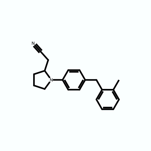 Cc1ccccc1Cc1ccc(N2CCCC2CC#N)cc1